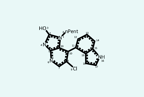 CCCCCn1c(O)nc2ncc(Cl)c(-c3cccc4[nH]ccc34)c21